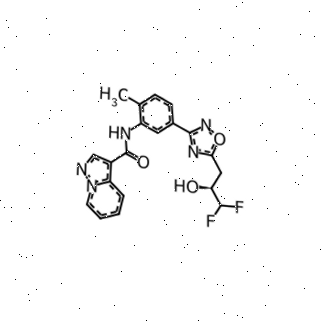 Cc1ccc(-c2noc(C[C@H](O)C(F)F)n2)cc1NC(=O)c1cnn2ccccc12